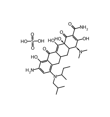 CCC(C)N(CC(C)C)c1cc(N)c(O)c2c1CC1CC3[C@H](N(C)C)C(O)=C(C(N)=O)C(=O)[C@@]3(O)C(O)=C1C2=O.O=S(=O)(O)O